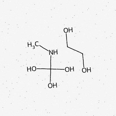 CNC(O)(O)O.OCCO